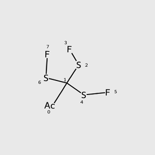 CC(=O)C(SF)(SF)SF